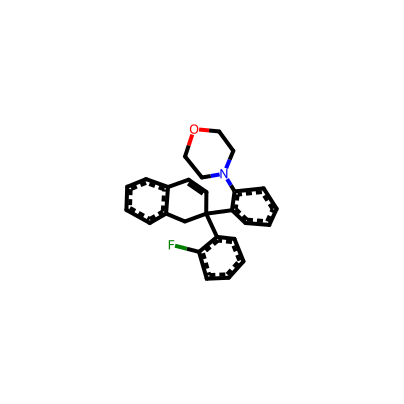 Fc1ccccc1C1(c2ccccc2N2CCOCC2)C=Cc2ccccc2C1